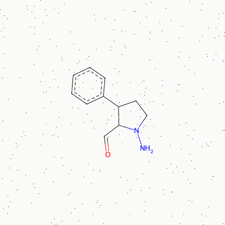 NN1CCC(c2ccccc2)C1C=O